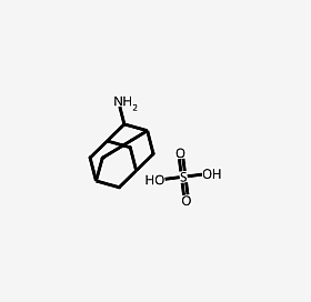 NC1C2CC3CC(C2)CC1C3.O=S(=O)(O)O